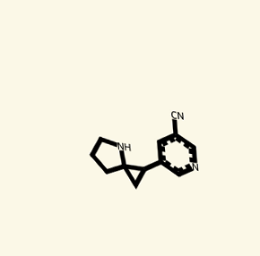 N#Cc1cncc(C2CC23CCCN3)c1